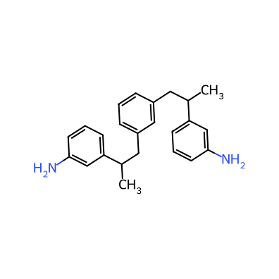 CC(Cc1cccc(CC(C)c2cccc(N)c2)c1)c1cccc(N)c1